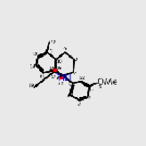 COc1cccc(C23CCCC4C(C)=CC=CC42CC(C)NC3)c1